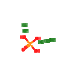 Cl.Cl.Cl.Cl.Cl.O=P(O)(O)O